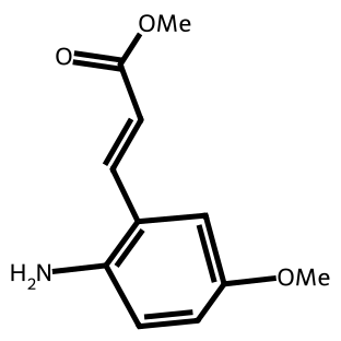 COC(=O)C=Cc1cc(OC)ccc1N